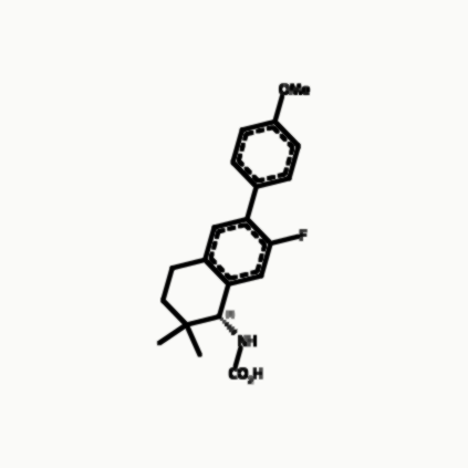 COc1ccc(-c2cc3c(cc2F)[C@H](NC(=O)O)C(C)(C)CC3)cc1